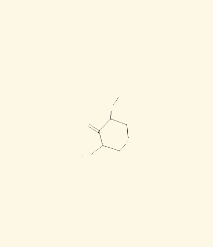 CCCCOC1CNCC(C=O)C1=O